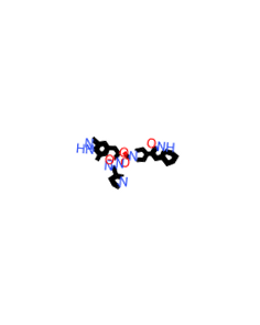 Cc1cc(CC(OC(=O)N2CCC(c3cc4ccccc4[nH]c3=O)CC2)c2nc(-c3cccnc3)no2)cc2cn[nH]c12